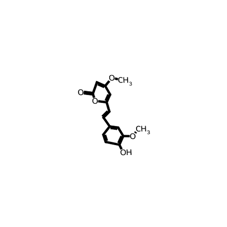 COc1cc(C=Cc2ccc(O)c(OC)c2)oc(=O)c1